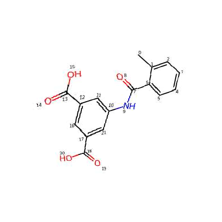 Cc1ccccc1C(=O)Nc1cc(C(=O)O)cc(C(=O)O)c1